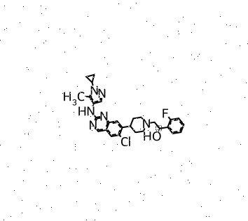 Cc1c(Nc2ncc3cc(Cl)c(C4CCN(C[C@@H](O)c5ccccc5F)CC4)cc3n2)cnn1C1CC1